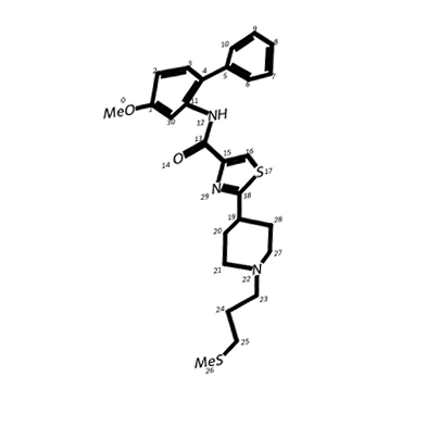 COc1ccc(-c2ccccc2)c(NC(=O)c2csc(C3CCN(CCCSC)CC3)n2)c1